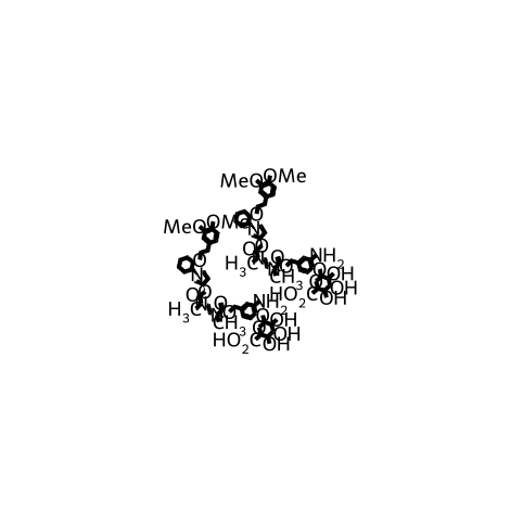 COc1ccc(CCO[C@@H]2CCCC[C@@H]2N2CC[C@@H](OC(=O)N(C)CCN(C)C(=O)OCc3ccc(OC4OC(C(=O)O)C(O)C(O)C4O)c(N)c3)C2)cc1OC.COc1ccc(CCO[C@H]2CCCC[C@@H]2N2CC[C@H](OC(=O)N(C)CCN(C)C(=O)OCc3ccc(OC4OC(C(=O)O)C(O)C(O)C4O)c(N)c3)C2)cc1OC